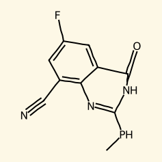 CPc1nc2c(C#N)cc(F)cc2c(=O)[nH]1